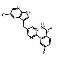 C[C@H](N)c1ccc(F)cc1-c1ncc(Cc2c[nH]c3ncc(Cl)cc23)cn1